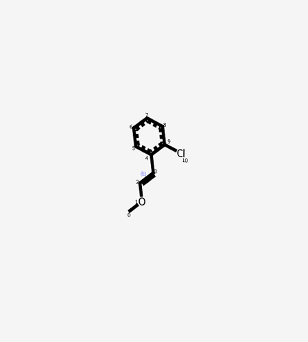 CO/C=C/c1ccccc1Cl